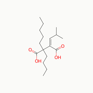 CCCCCC(CCCC)(C(=O)O)C(=CC(C)C)C(=O)O